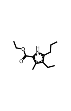 CCCc1[nH]c(C(=O)OCC)c(C)c1CC